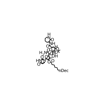 CCCCCCCCCCCCCCCC(=O)O[C@@H]1[C@H](CO)[C@@H]([C@@H](O[C@H]2OC(C(=O)N[C@H]3CCCCNC3=O)=C[C@@H]3OC(C)(C)O[C@H]23)C(N)=O)O[C@H]1n1ccc(=O)[nH]c1=O